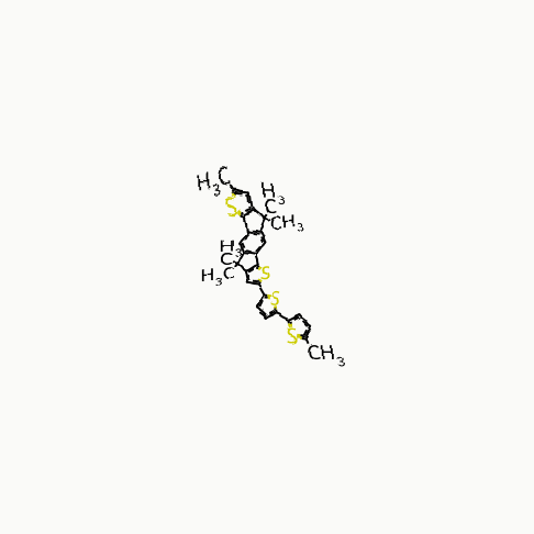 Cc1ccc(-c2ccc(-c3cc4c(s3)-c3cc5c(cc3C4(C)C)-c3sc(C)cc3C5(C)C)s2)s1